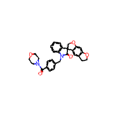 O=C(c1ccc(CN2C(=O)C3(COc4cc5c(cc43)CCO5)c3ccccc32)cc1)N1CCOCC1